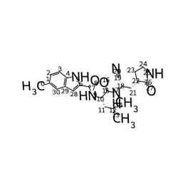 Cc1ccc2[nH]c(C(=O)N[C@@H](CC(C)C)C(=O)N[C@H](C#N)C[C@@H]3CCNC3=O)cc2c1